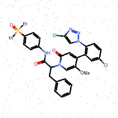 CCP(=O)(CC)c1ccc(NC(=O)C(Cc2ccccc2)n2cc(OC)c(-c3cc(Cl)ccc3-n3cc(Cl)nn3)cc2=O)cc1